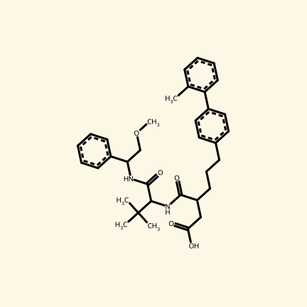 COCC(NC(=O)C(NC(=O)C(CCCc1ccc(-c2ccccc2C)cc1)CC(=O)O)C(C)(C)C)c1ccccc1